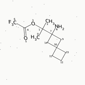 CC(C)(OC(=O)C(F)(F)F)C1(N)CC2(CCC2)C1